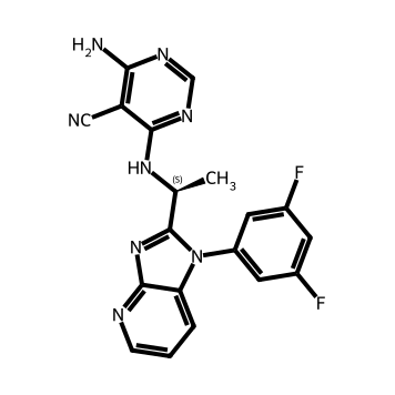 C[C@H](Nc1ncnc(N)c1C#N)c1nc2ncccc2n1-c1cc(F)cc(F)c1